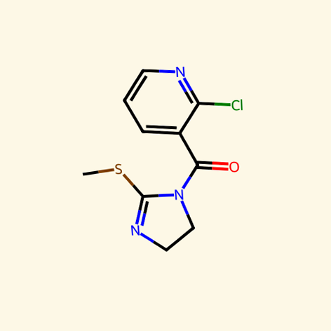 CSC1=NCCN1C(=O)c1cccnc1Cl